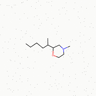 CCCCC(C)C1CN(C)CCO1